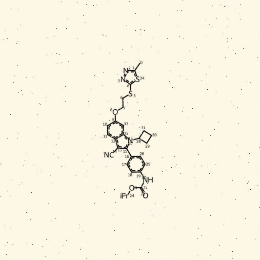 Cc1nnc(SCCOc2ccc3c(C#N)c(-c4ccc(NC(=O)OC(C)C)cc4)n(C4CCC4)c3c2)s1